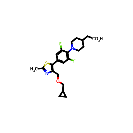 Cc1nc(COCC2CC2)c(-c2cc(F)c(N3CCC(CC(=O)O)CC3)c(F)c2)s1